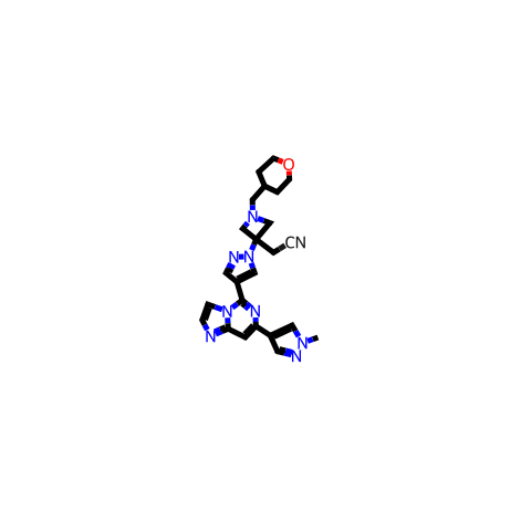 Cn1cc(-c2cc3nccn3c(-c3cnn(C4(CC#N)CN(CC5CCOCC5)C4)c3)n2)cn1